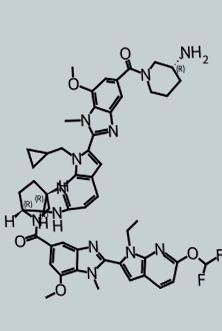 CCn1c(-c2nc3cc(C(=O)N4C[C@H]5CC[C@@H]4[C@@H]5Nc4ccc5cc(-c6nc7cc(C(=O)N8CCC[C@@H](N)C8)cc(OC)c7n6C)n(CC6CC6)c5n4)cc(OC)c3n2C)cc2ccc(OC(F)F)nc21